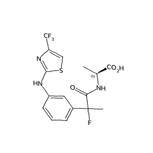 C[C@H](NC(=O)C(C)(F)c1cccc(Nc2nc(C(F)(F)F)cs2)c1)C(=O)O